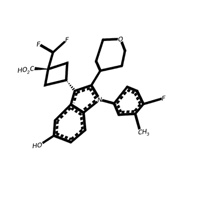 Cc1cc(-n2c(C3CCOCC3)c([C@H]3C[C@@](C(=O)O)(C(F)F)C3)c3cc(O)ccc32)ccc1F